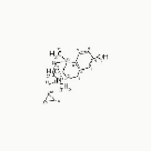 CC1C2Cc3cc(O)ccc3C1(C)CC[N+]2(C)CC1CC1